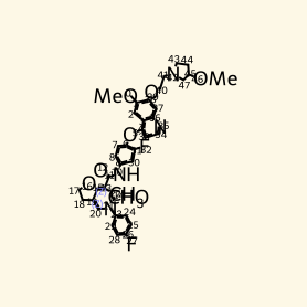 COc1cc2c(Oc3ccc(NC(=O)/C(C)=C4\OCC\C4=C\N(C=O)c4ccc(F)cc4)cc3F)ccnc2cc1OCCN1CCC(OC)C1